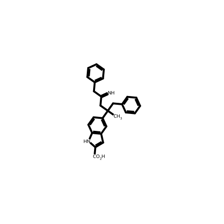 CC(CC(=N)Cc1ccccc1)(Cc1ccccc1)c1ccc2[nH]c(C(=O)O)cc2c1